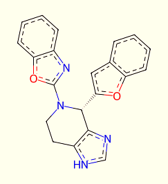 c1ccc2oc([C@@H]3c4nc[nH]c4CCN3c3nc4ccccc4o3)cc2c1